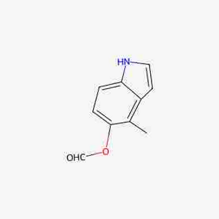 Cc1c(OC=O)ccc2[nH]ccc12